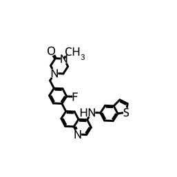 CN1CCN(Cc2ccc(-c3ccc4nccc(Nc5ccc6sccc6c5)c4c3)c(F)c2)CC1=O